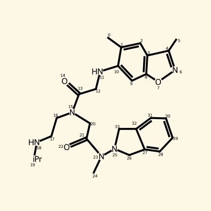 Cc1cc2c(C)noc2cc1NCC(=O)N(CCNC(C)C)CC(=O)N(C)N1Cc2ccccc2C1